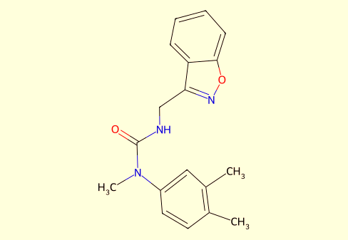 Cc1ccc(N(C)C(=O)NCc2noc3ccccc23)cc1C